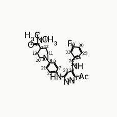 CC(=O)c1nnc(Nc2ccc(N3CCC(C(=O)N(C)C)CC3)cc2)cc1NCc1cccc(F)c1